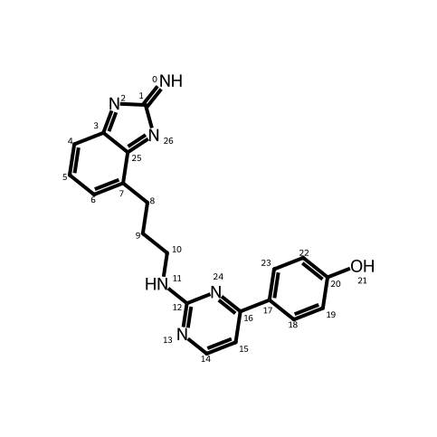 N=C1N=c2cccc(CCCNc3nccc(-c4ccc(O)cc4)n3)c2=N1